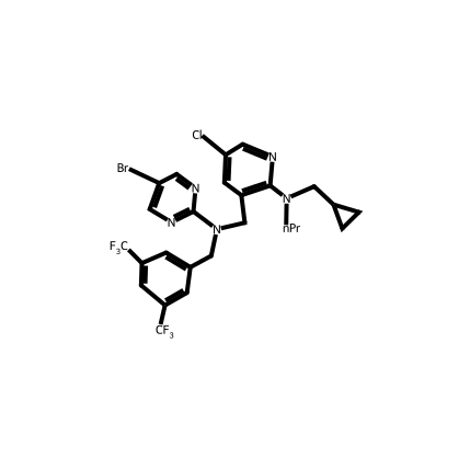 CCCN(CC1CC1)c1ncc(Cl)cc1CN(Cc1cc(C(F)(F)F)cc(C(F)(F)F)c1)c1ncc(Br)cn1